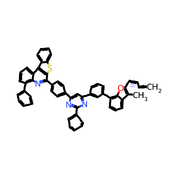 C=C/C=C\c1oc2c(-c3cccc(-c4cc(-c5ccc(-c6nc7c(-c8ccccc8)cccc7c7c6sc6ccccc67)cc5)nc(-c5ccccc5)n4)c3)cccc2c1C